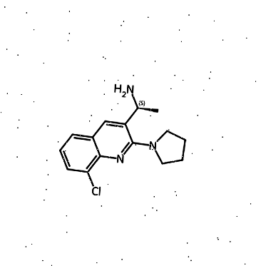 C[C@H](N)c1cc2cccc(Cl)c2nc1N1CCCC1